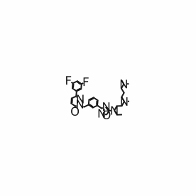 CCN(CCN(C)CCCN(C)C)c1nc(-c2cccc(Cn3nc(-c4cc(F)cc(F)c4)ccc3=O)c2)no1